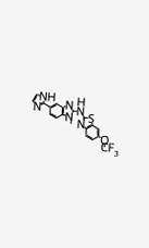 Cn1c(Nc2nc3ccc(OC(F)(F)F)cc3s2)nc2cc(-c3ncc[nH]3)ccc21